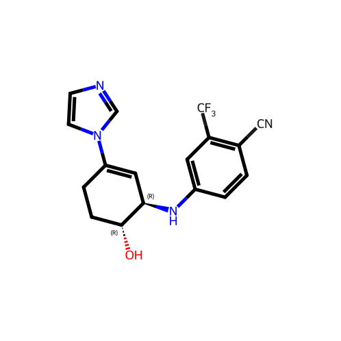 N#Cc1ccc(N[C@@H]2C=C(n3ccnc3)CC[C@H]2O)cc1C(F)(F)F